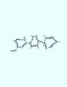 Nc1cc(-c2ccc(-c3ccccc3)cc2)on1